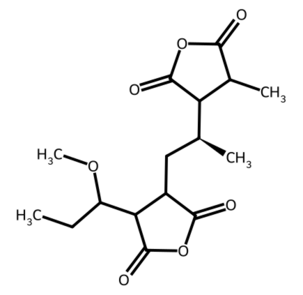 CCC(OC)C1C(=O)OC(=O)C1C[C@H](C)C1C(=O)OC(=O)C1C